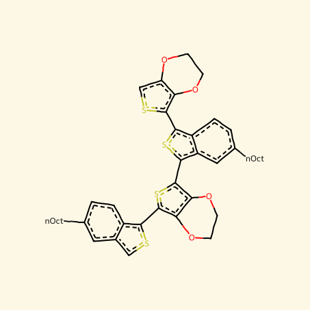 CCCCCCCCc1ccc2c(-c3sc(-c4sc(-c5scc6c5OCCO6)c5ccc(CCCCCCCC)cc45)c4c3OCCO4)scc2c1